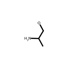 CC(N)C[O]